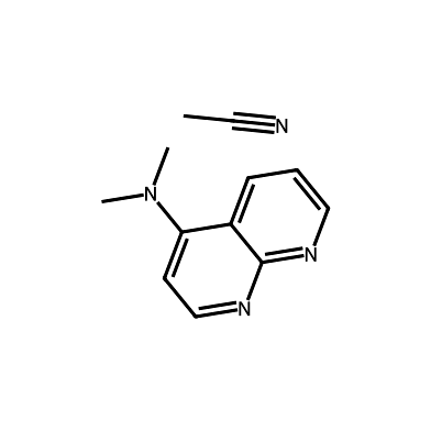 CC#N.CN(C)c1ccnc2ncccc12